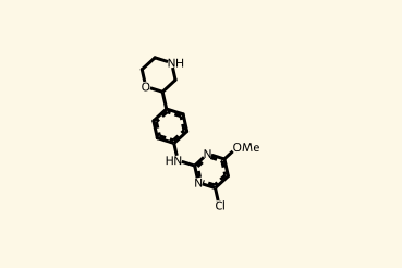 COc1cc(Cl)nc(Nc2ccc(C3CNCCO3)cc2)n1